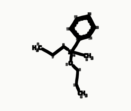 CCCO[Si](C)(CCC)c1ccccc1